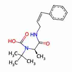 C[C@H](C(=O)NC/C=C\c1ccccc1)N(C(=O)O)C(C)(C)C